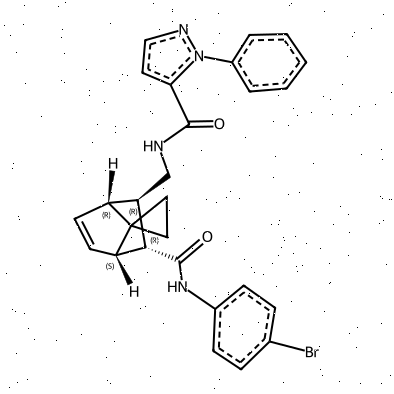 O=C(NC[C@H]1[C@H](C(=O)Nc2ccc(Br)cc2)[C@@H]2C=C[C@H]1C21CC1)c1ccnn1-c1ccccc1